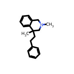 CN1Cc2ccccc2C(C)(CCc2ccccc2)C1